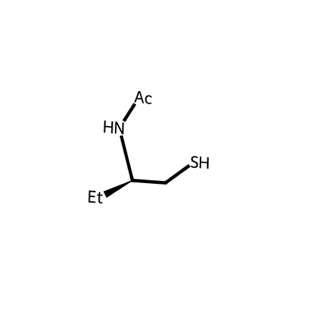 CC[C@H](CS)NC(C)=O